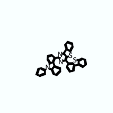 c1ccc(-n2c3ccccc3c3c(-c4nc(-c5cccc6c5sc5ccccc56)c5sc6ccccc6c5n4)cccc32)cc1